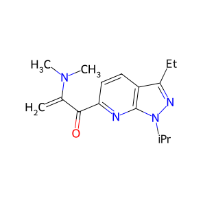 C=C(C(=O)c1ccc2c(CC)nn(C(C)C)c2n1)N(C)C